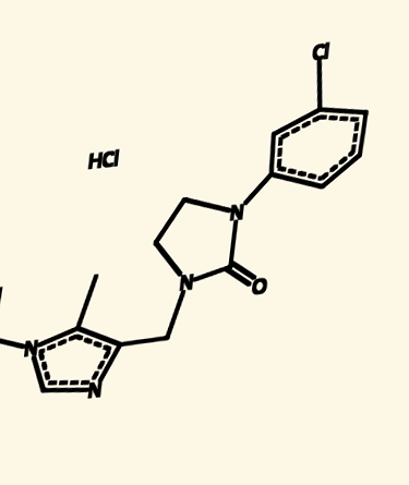 CCn1cnc(CN2CCN(c3cccc(Cl)c3)C2=O)c1C.Cl